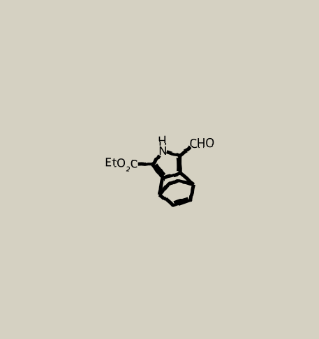 CCOC(=O)c1[nH]c(C=O)c2c1C1C=CC2CC1